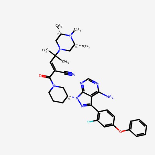 C[C@@H]1CN(C(C)(C)C=C(C#N)C(=O)N2CCC[C@@H](n3nc(-c4ccc(Oc5ccccc5)cc4F)c4c(N)ncnc43)C2)C[C@H](C)N1C